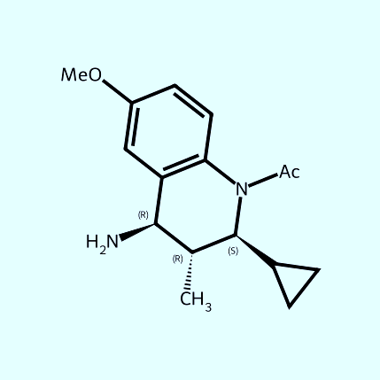 COc1ccc2c(c1)[C@H](N)[C@@H](C)[C@H](C1CC1)N2C(C)=O